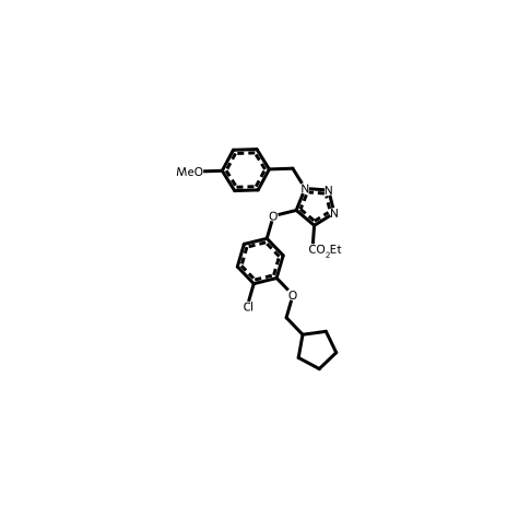 CCOC(=O)c1nnn(Cc2ccc(OC)cc2)c1Oc1ccc(Cl)c(OCC2CCCC2)c1